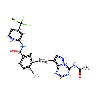 CC(=O)Nc1ncnc2c(C#Cc3cc(C(=O)Nc4cc(C(F)(F)F)ccn4)ccc3C)cnn12